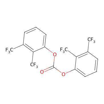 O=C(Oc1cccc(C(F)(F)F)c1C(F)(F)F)Oc1cccc(C(F)(F)F)c1C(F)(F)F